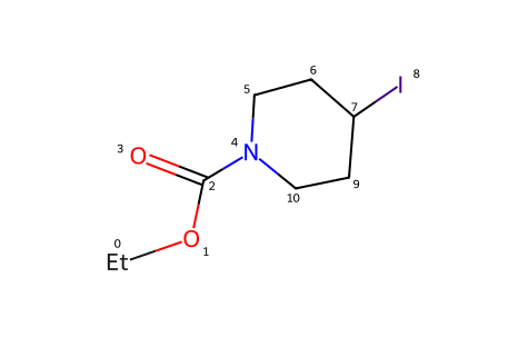 CCOC(=O)N1CCC(I)CC1